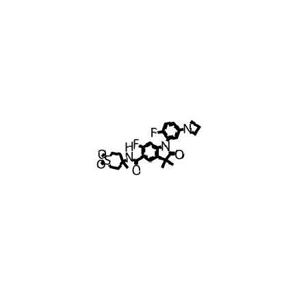 CC1(NC(=O)c2cc3c(cc2F)N(c2cc(N4CCC4)ccc2F)C(=O)C3(C)C)CCS(=O)(=O)CC1